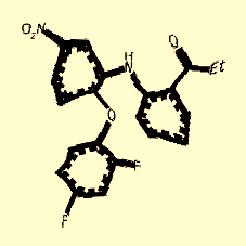 CCC(=O)c1ccccc1Nc1cc([N+](=O)[O-])ccc1Oc1ccc(F)cc1F